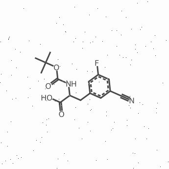 CC(C)(C)OC(=O)NC(Cc1cc(F)cc(C#N)c1)C(=O)O